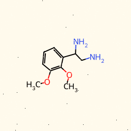 COc1cccc(C(N)CN)c1OC